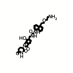 NCCOCCc1cccc2c(NC(=O)NCc3ccc4c(c3O)CN(C3CCC(=O)NC3=O)C4=O)cccc12